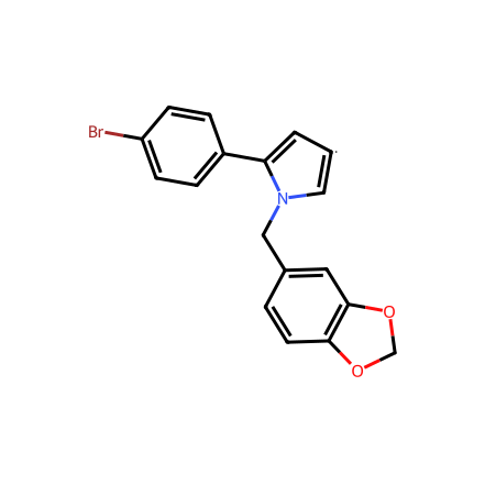 Brc1ccc(-c2c[c]cn2Cc2ccc3c(c2)OCO3)cc1